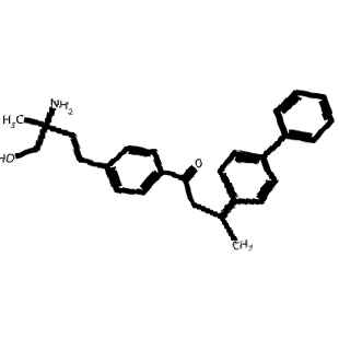 CC(CC(=O)c1ccc(CCC(C)(N)CO)cc1)c1ccc(-c2ccccc2)cc1